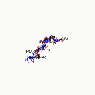 CCCCC(=O)CCOCN(C)NC(=O)CNC(=O)C(C)(C)NC(=O)CNC(=O)[C@H](CC(C)C)NC(=O)CNC(=O)[C@H](C)NC(=O)CNC(=O)[C@H](CCC(=O)O)NC(=O)CNC(=O)[C@H](CCCNC(=N)N)NC(C)=O